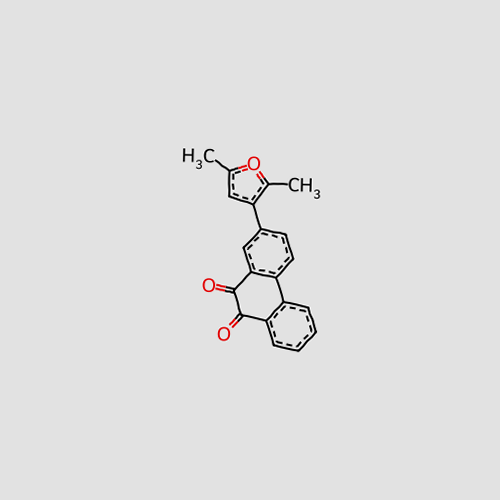 Cc1cc(-c2ccc3c(c2)C(=O)C(=O)c2ccccc2-3)c(C)o1